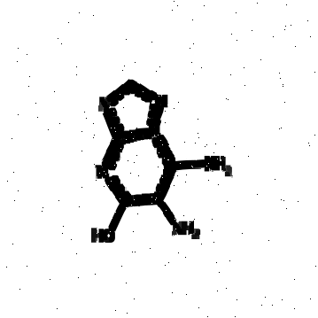 Nc1c(O)nc2ncnn2c1N